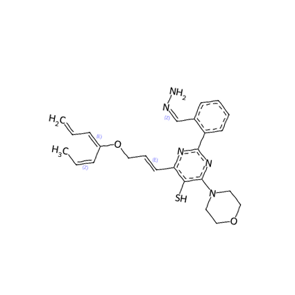 C=C/C=C(\C=C/C)OC/C=C/c1nc(-c2ccccc2/C=N\N)nc(N2CCOCC2)c1S